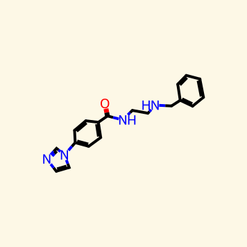 O=C(NCCNCc1ccccc1)c1ccc(-n2ccnc2)cc1